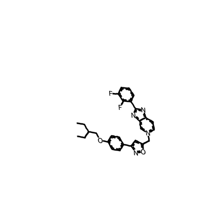 CCC(CC)COc1ccc(-c2cc(Cn3ccc4nc(-c5cccc(F)c5F)nc-4c3)on2)cc1